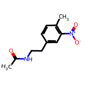 CC(=O)NCCc1ccc(C)c([N+](=O)[O-])c1